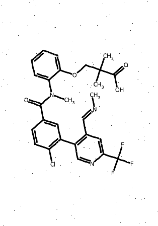 C/N=C/c1cc(C(F)(F)F)ncc1-c1cc(C(=O)N(C)c2ccccc2OCC(C)(C)C(=O)O)ccc1Cl